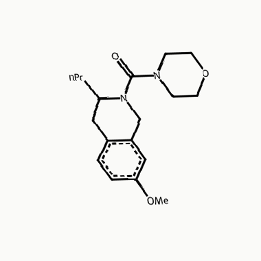 CCCC1Cc2ccc(OC)cc2CN1C(=O)N1CCOCC1